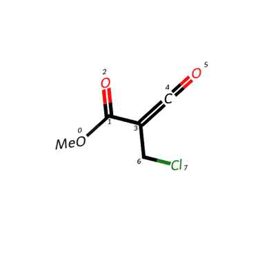 COC(=O)C(=C=O)CCl